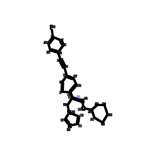 Fc1ccc(C#Cc2ccc(/C(Cn3ccnc3)=N/OC3CCCCC3)cc2)cc1